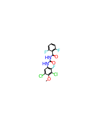 COc1c(Cl)cc(NC(=O)NC(=O)c2c(F)cccc2F)c(F)c1Cl